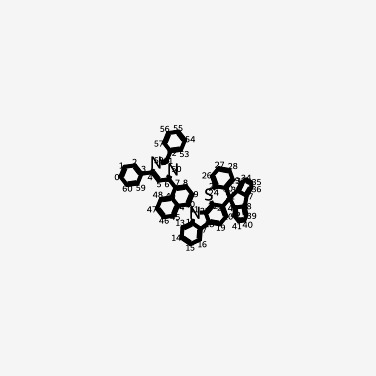 c1ccc(-c2cc(-c3ccc(-n4c5ccccc5c5ccc6c(c54)Sc4ccccc4C64c5ccccc5-c5ccccc54)c4ccccc34)nc(-c3ccccc3)n2)cc1